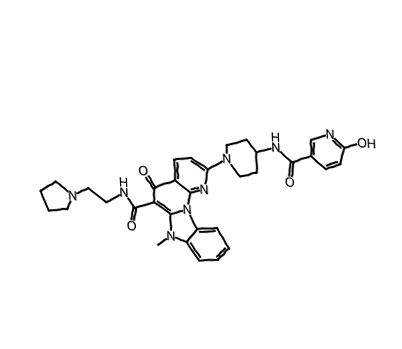 Cn1c2ccccc2n2c3nc(N4CCC(NC(=O)c5ccc(O)nc5)CC4)ccc3c(=O)c(C(=O)NCCN3CCCC3)c12